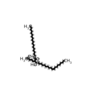 CCCCCCCC/C=C\CCCCCCCCOC(O)C(CCCN(C)C)C(=O)OCCCCCCCCCCCCCCCCCC